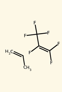 C=CC.FC(F)=C(F)C(F)(F)F